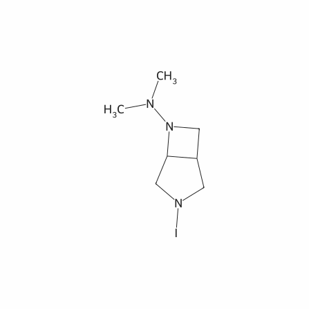 CN(C)N1CC2CN(I)CC21